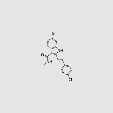 CNC(=O)c1c(/C=C/c2ccc(Cl)cc2)[nH]c2cc(Br)ccc12